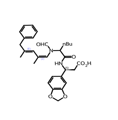 CCCCC(C(=O)N[C@@H](CC(=O)O)c1ccc2c(c1)OCO2)N(C=O)/C=C(C)\C=C(/C)Cc1ccccc1